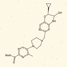 CNC(=O)c1ncc(N2CCN(Cc3cc4c(cn3)O[C@@H](C3CC3)C(O)N4)CC2)c(C)n1